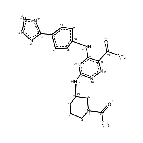 CC(=O)N1CCC[C@@H](Nc2nnc(C(N)=O)c(Nc3ccc(-c4nn[nH]n4)cc3)n2)C1